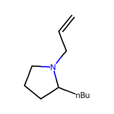 C=CCN1CCCC1CCCC